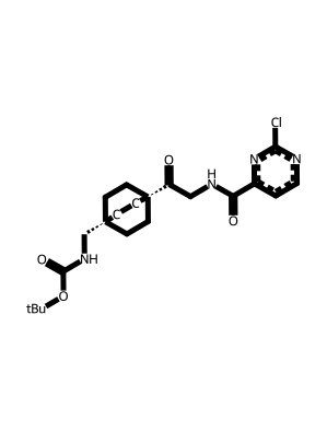 CC(C)(C)OC(=O)NC[C@]12CC[C@](C(=O)CNC(=O)c3ccnc(Cl)n3)(CC1)CC2